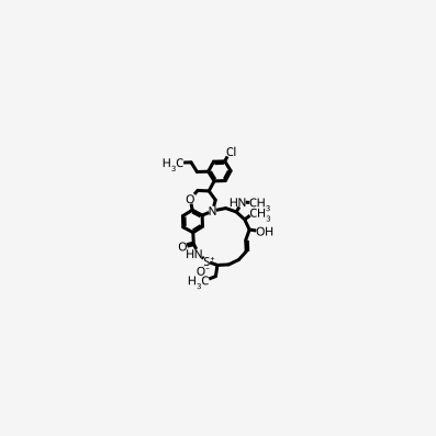 CCCc1cc(Cl)ccc1C1COc2ccc3cc2N(C1)CC(NC)C(C)C(O)/C=C/CCC(CC)[S+]([O-])NC3=O